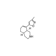 Cc1cc(C2=CCC[C@@H]3CCNC[C@H]23)on1